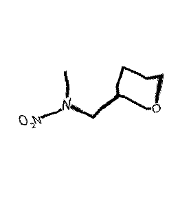 CN(CC1CCO1)[N+](=O)[O-]